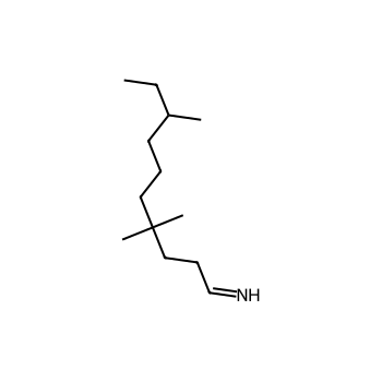 CCC(C)CCCC(C)(C)CCC=N